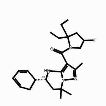 CCC1(CC)CC(F)CN1C(=O)c1c(C)nn2c1N[C@@H](C1C=CC=CC1)CC2(C)C